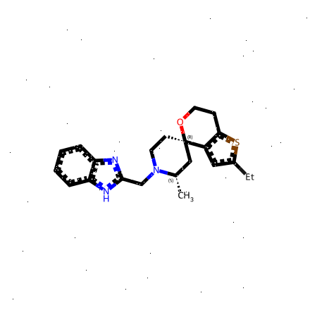 CCc1cc2c(s1)CCO[C@@]21CCN(Cc2nc3ccccc3[nH]2)[C@@H](C)C1